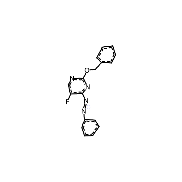 Fc1cnc(OCc2ccccc2)nc1/N=N/c1ccccc1